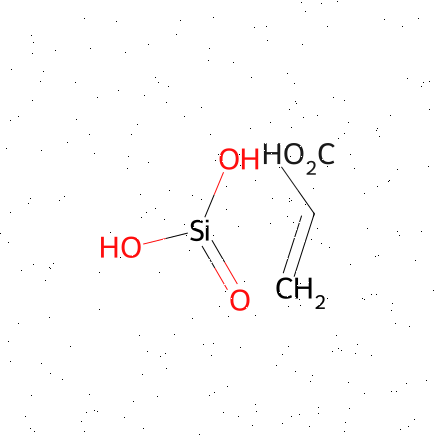 C=CC(=O)O.O=[Si](O)O